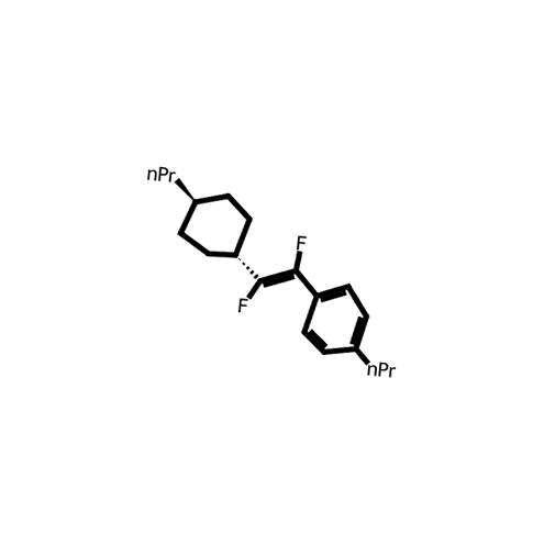 CCCc1ccc(/C(F)=C(\F)[C@H]2CC[C@H](CCC)CC2)cc1